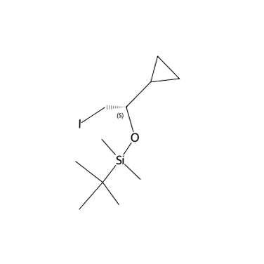 CC(C)(C)[Si](C)(C)O[C@H](CI)C1CC1